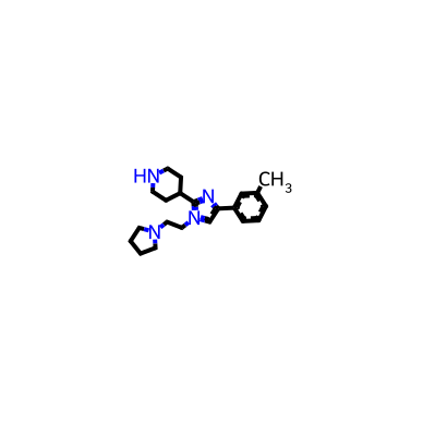 Cc1cccc(-c2cn(CCN3CCCC3)c(C3CCNCC3)n2)c1